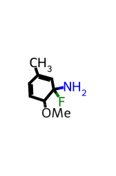 COC1C=CC(C)=CC1(N)F